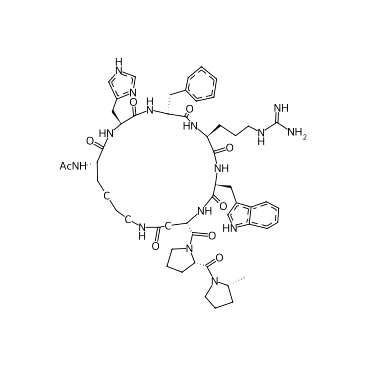 CC(=O)N[C@H]1CCCCNC(=O)C[C@@H](C(=O)N2CCC[C@H]2C(=O)N2CCC[C@H]2C)NC(=O)[C@H](Cc2c[nH]c3ccccc23)NC(=O)[C@H](CCCNC(=N)N)NC(=O)[C@@H](Cc2ccccc2)NC(=O)[C@H](Cc2c[nH]cn2)NC1=O